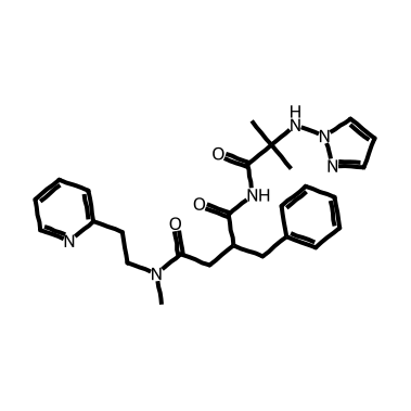 CN(CCc1ccccn1)C(=O)CC(Cc1ccccc1)C(=O)NC(=O)C(C)(C)Nn1cccn1